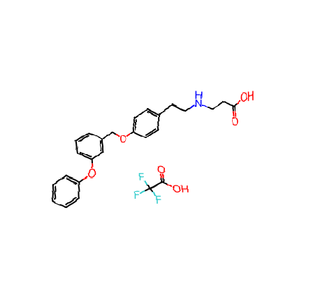 O=C(O)C(F)(F)F.O=C(O)CCNCCc1ccc(OCc2cccc(Oc3ccccc3)c2)cc1